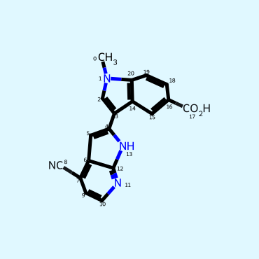 Cn1cc(-c2cc3c(C#N)ccnc3[nH]2)c2cc(C(=O)O)ccc21